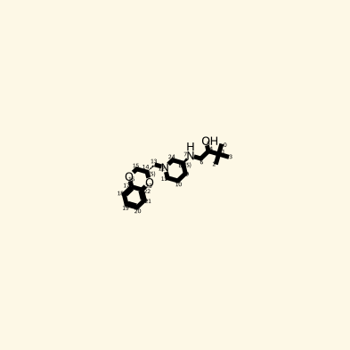 CC(C)(C)C(O)CN[C@H]1CCCN(C[C@H]2COc3ccccc3O2)C1